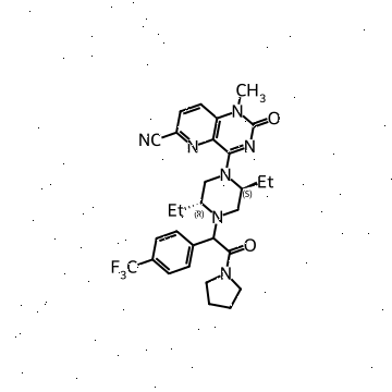 CC[C@H]1CN(C(C(=O)N2CCCC2)c2ccc(C(F)(F)F)cc2)[C@H](CC)CN1c1nc(=O)n(C)c2ccc(C#N)nc12